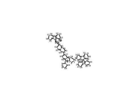 c1ccc(-n2c3ccc(-c4ccc5c(c4)C(c4ccccc4)(c4ccccc4)c4ccccc4-5)cc3c3cc(-c4ccc5cc(-c6nc7c8c(cccc8n6)-c6ccccc6-7)ccc5c4)ccc32)cc1